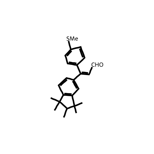 CSc1ccc(C(=CC=O)c2ccc3c(c2)C(C)(C)C(C)C3(C)C)cc1